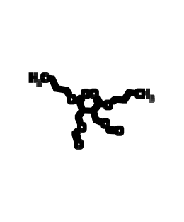 CCCCOC(=O)C(COC=O)C(COC=O)C(=O)OCCCC